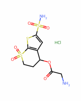 Cl.NCC(=O)OC1CCS(=O)(=O)c2sc(S(N)(=O)=O)cc21